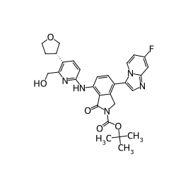 CC(C)(C)OC(=O)N1Cc2c(-c3cnc4cc(F)ccn34)ccc(Nc3ccc([C@@H]4CCOC4)c(CO)n3)c2C1=O